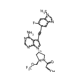 C=CC(=O)N1C[C@@H](n2cc(C#Cc3cc4ncn(C)c4cc3F)c3c(N)ncnc32)C[C@@H]1COC(F)(F)F